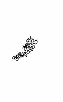 C=C[C@@H]1C[C@]1(NC(=O)[C@@H]1C[C@@]2(CN1C(=O)[C@@H](NC(=O)[C@@H](NC(=O)[C@@H]1CCCN1C(C)C)C1CCCCC1)C(C)(C)C)C(C)(C)C21CCC1)C(=O)NS(=O)(=O)N1CCCC1